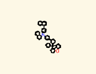 c1ccc(C2(c3cccc(-c4ccc(N(c5ccc(-c6cccc7ccccc67)cc5)c5cccc6ccccc56)cc4)c3)c3cccc4oc5cccc2c5c34)cc1